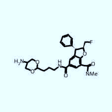 CNC(=O)c1cc(C(=O)NCCCC2OCC(N)CO2)cc2c1O[C@H](CF)[C@H]2c1ccccc1